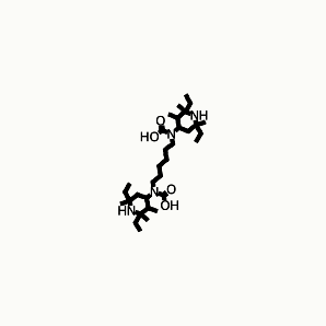 CCC1(C)CC(N(CCCCCCN(C(=O)O)C2CC(C)(CC)NC(C)(CC)C2C)C(=O)O)C(C)C(C)(CC)N1